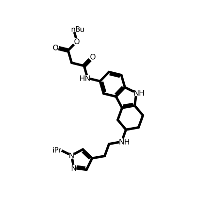 CCCCOC(=O)CC(=O)Nc1ccc2[nH]c3c(c2c1)CC(NCCc1cnn(C(C)C)c1)CC3